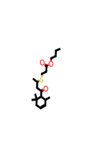 CCCCOC(=O)CCSC(C)CC(=O)C1C(C)C=CCC1(C)C